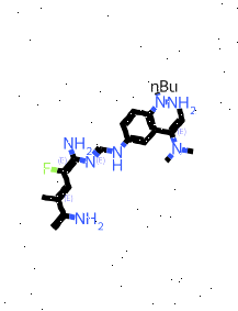 C=C(N)/C(C)=C/C(F)=C(N)\N=C\Nc1ccc(N(N)CCCC)c(/C(=C\C)N(C)C)c1